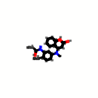 CCCCCCC(=O)Nc1cc(N(C)c2cc(=O)oc3ccccc23)ccc1OC